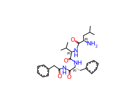 CC(C)C[C@@H](N)C(=O)N[C@@H](C(=O)N[C@H](Cc1ccccc1)C(=O)NC(=O)Cc1ccccc1)C(C)C